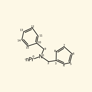 [CH2]C[CH]N(Cc1ccccc1)Cc1ccccc1